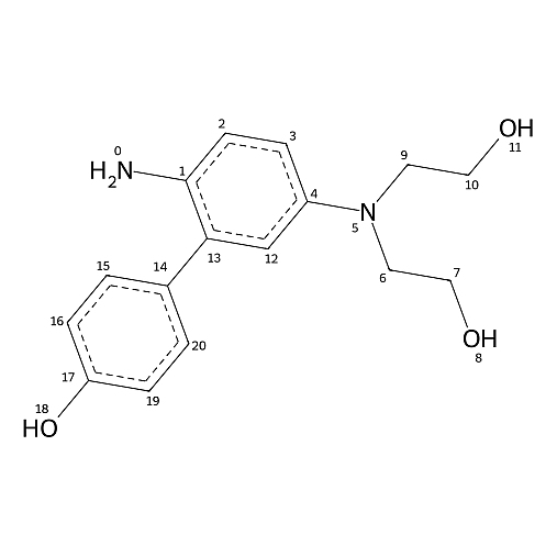 Nc1ccc(N(CCO)CCO)cc1-c1ccc(O)cc1